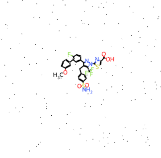 COc1cccc(-c2cc(-c3nn(-c4nc(C(=O)O)cs4)c(C(F)(F)F)c3Cc3ccc(S(N)(=O)=O)cc3)ccc2F)c1